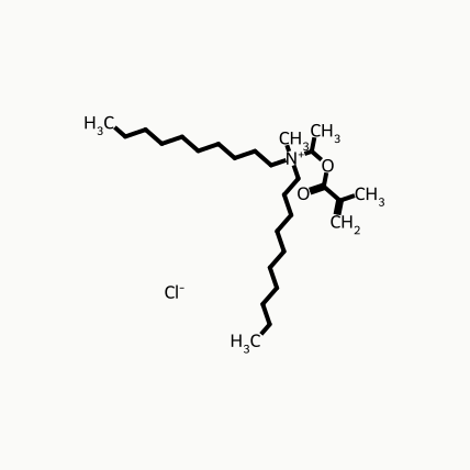 C=C(C)C(=O)OC(C)[N+](C)(CCCCCCCCCC)CCCCCCCCCC.[Cl-]